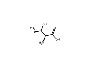 C.C[C@@H](O)[C@H](N)C(=O)O